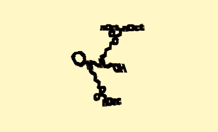 CCCCCCCCCCCC(=O)OCCCCCN(CCN(CCO)CCCCCOC(=O)CC(CCCCCCCC)CCCCCCCC)C1CCCCCC1